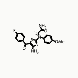 COc1ccc(N(c2nc(N)c(C(=O)c3ccc(F)cc3)s2)[C@H](C)C(N)=O)cc1